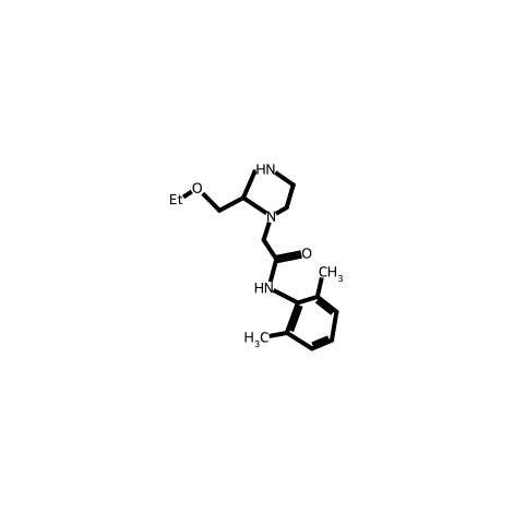 CCOCC1CNCCN1CC(=O)Nc1c(C)cccc1C